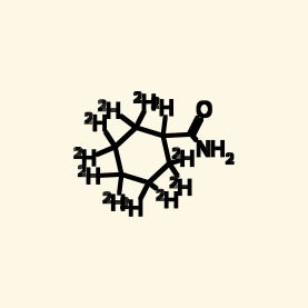 [2H]C1([2H])C([2H])([2H])C([2H])([2H])C([2H])(C(N)=O)C([2H])([2H])C1([2H])[2H]